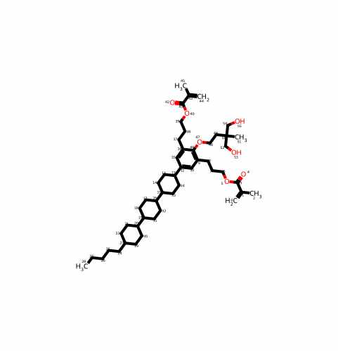 C=C(C)C(=O)OCCCc1cc(C2CCC(C3CCC(C4CCC(CCCCC)CC4)CC3)CC2)cc(CCCOC(=O)C(=C)C)c1OCCC(C)(CO)CO